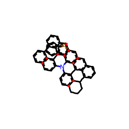 c1ccc(-c2cccc3cccc(-c4ccccc4N(c4ccccc4-c4cccc5cccc(C6CCCCC6)c45)c4cccc5sc6ccccc6c45)c23)cc1